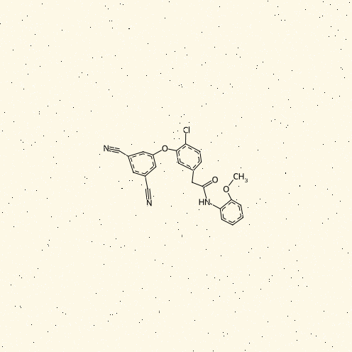 COc1ccccc1NC(=O)Cc1ccc(Cl)c(Oc2cc(C#N)cc(C#N)c2)c1